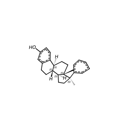 C[C@]12CC[C@@H]3c4ccc(O)cc4CC[C@H]3[C@@H]1CC[C@]2(C)c1ccccc1